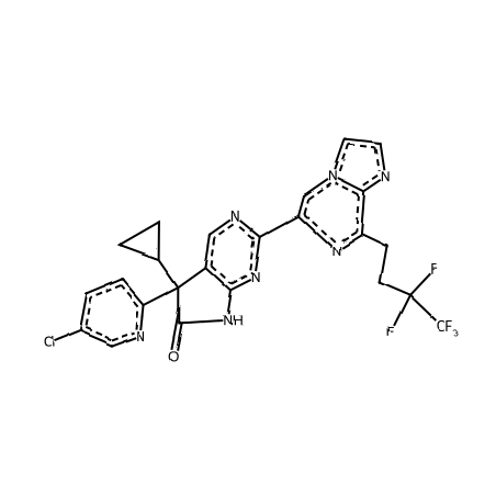 O=C1Nc2nc(-c3cn4ccnc4c(CCC(F)(F)C(F)(F)F)n3)ncc2C1(c1ccc(Cl)cn1)C1CC1